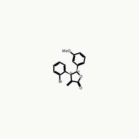 C=C1C(=O)O[C@H](c2cccc(OC)c2)[C@@H]1c1ccccc1Br